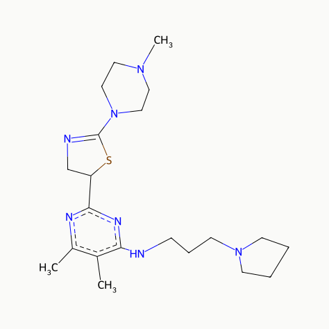 Cc1nc(C2CN=C(N3CCN(C)CC3)S2)nc(NCCCN2CCCC2)c1C